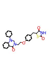 O=C1NC(=O)C(Cc2ccc(OCCN3CN(c4ccccc4)c4ccccc4C3=O)cc2)S1